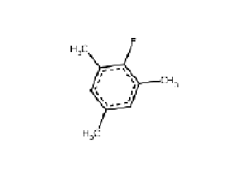 Cc1cc(C)c(F)c(C)c1